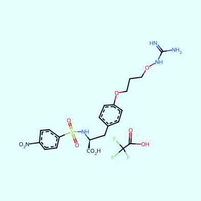 N=C(N)NOCCCOc1ccc(C[C@H](NS(=O)(=O)c2ccc([N+](=O)[O-])cc2)C(=O)O)cc1.O=C(O)C(F)(F)F